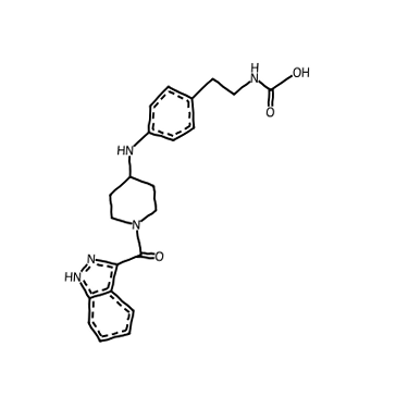 O=C(O)NCCc1ccc(NC2CCN(C(=O)c3n[nH]c4ccccc34)CC2)cc1